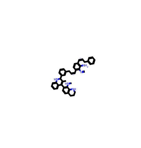 C=Nc1c(/C=C\Cc2cccc(C3Nc4ccccc4C(c4ccc5c(c4NC)NCCC5)=C3C)c2)ccc(/C=C\Cc2ccccc2)c1N